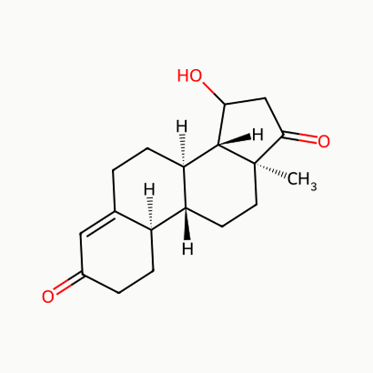 C[C@]12CC[C@H]3[C@@H](CCC4=CC(=O)CC[C@@H]43)[C@@H]1C(O)CC2=O